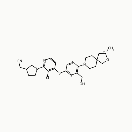 C[C@H]1CC2(CCN(c3ncc(Sc4ccnc(N5CCC(CC#N)C5)c4Cl)nc3CO)CC2)CO1